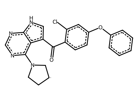 O=C(c1ccc(Oc2ccccc2)cc1Cl)c1c[nH]c2ncnc(N3C[CH]CC3)c12